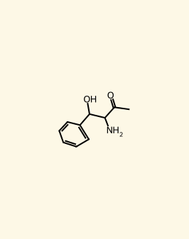 CC(=O)C(N)C(O)c1ccccc1